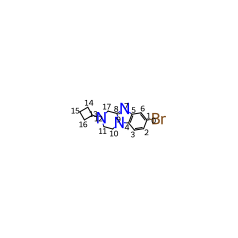 Brc1ccc2c(c1)nc1n2CCN(C2CCC2)C1